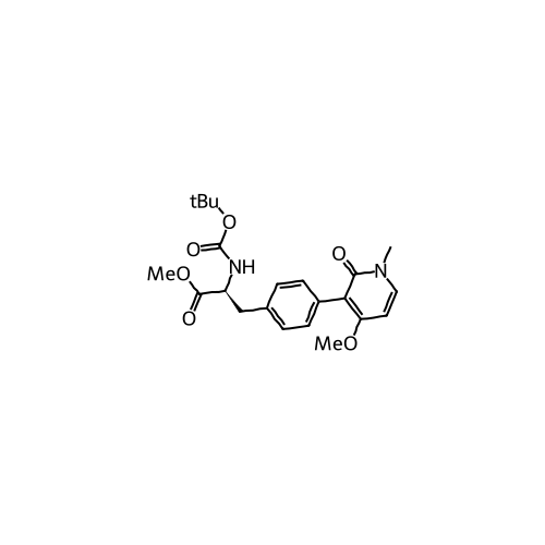 COC(=O)[C@H](Cc1ccc(-c2c(OC)ccn(C)c2=O)cc1)NC(=O)OC(C)(C)C